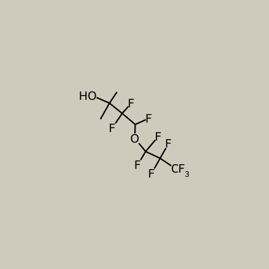 CC(C)(O)C(F)(F)C(F)OC(F)(F)C(F)(F)C(F)(F)F